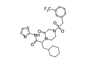 O=C(Nc1nccs1)C(CC1CCCCC1)N1CCN(S(=O)(=O)Cc2cccc(C(F)(F)F)c2)CC1=O